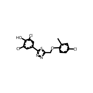 Cc1cc(Cl)ccc1OCc1nnc(-c2cc(Cl)c(O)c(Cl)c2)s1